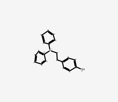 Oc1ccc(CCP(c2ccccc2)c2ccccc2)cc1